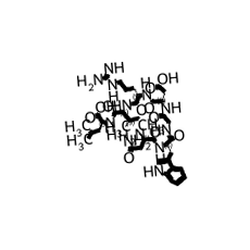 CC[C@H](C)[C@H](NC(=O)[C@H](CCCNC(=N)N)NC(=O)[C@H](CC(=O)O)NC(=O)CNC(=O)[C@H](Cc1c[nH]c2ccccc12)NC(=O)[C@@H](N)CC(N)=O)C(=O)N[C@@H](CC(C)C)C(=O)O